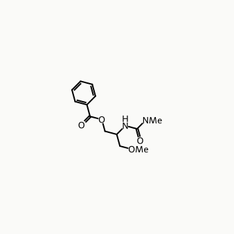 CNC(=O)NC(COC)COC(=O)c1ccccc1